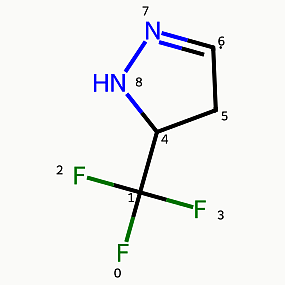 FC(F)(F)C1C[C]=NN1